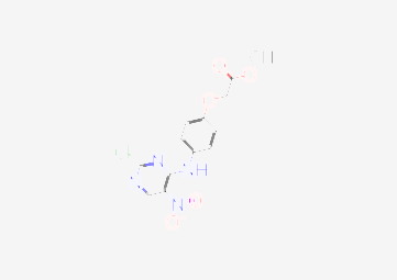 COC(=O)COc1ccc(Nc2nc(Cl)ncc2[N+](=O)[O-])cc1